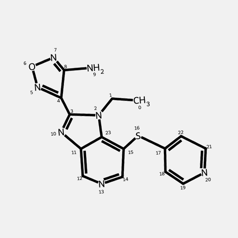 CCn1c(-c2nonc2N)nc2cncc(Sc3ccncc3)c21